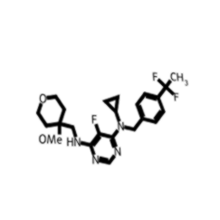 COC1(CNc2ncnc(N(Cc3ccc(C(C)(F)F)cc3)C3CC3)c2F)CCOCC1